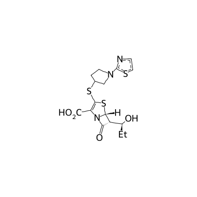 CC[C@H](O)[C@@H]1C(=O)N2C(C(=O)O)=C(SC3CCN(c4nccs4)C3)S[C@H]12